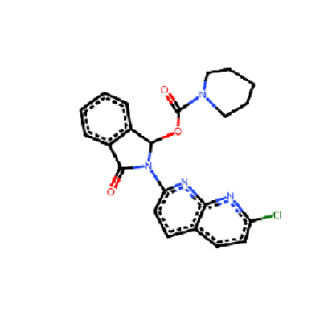 O=C(OC1c2ccccc2C(=O)N1c1ccc2ccc(Cl)nc2n1)N1CCCCC1